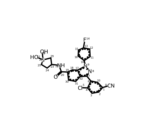 N#Cc1ccc(Cl)c(-c2nn(-c3ccc(F)cc3)c3cc(C(=O)NC4CCS(O)(O)C4)ccc23)c1